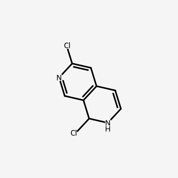 Clc1cc2c(cn1)C(Cl)NC=C2